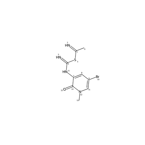 CC(=N)SC(=N)Nc1cc(Br)cn(C)c1=O